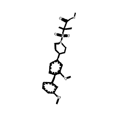 COC(=O)C(C)(C)S(=O)(=O)N1CCC(c2ccc(-c3cccc(OC)c3)c(OC)c2)CC1